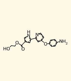 Nc1ccc(Oc2ccnc(-c3cc(C(=O)OCCO)c[nH]3)c2)cc1